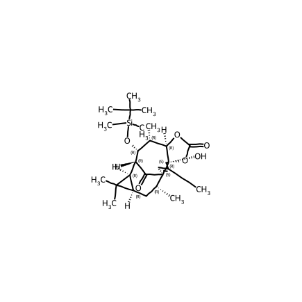 CC1=C[C@]23C(=O)[C@@H]([C@H](O[Si](C)(C)C(C)(C)C)[C@H](C)[C@H]4OC(=O)O[C@]42[C@H]1O)[C@H]1[C@@H](C[C@H]3C)C1(C)C